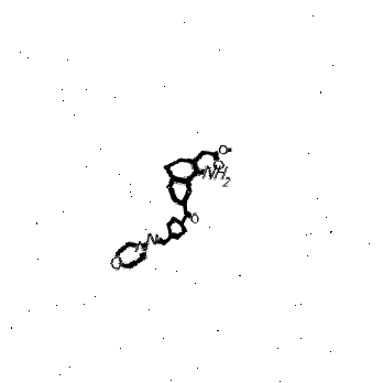 COC(=O)CC1CCc2ccc(C(=O)c3ccc(C=NN4CCOCC4)cc3)cc2C1N